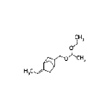 CC=C1CC2CC1CC2COC(C)OCC